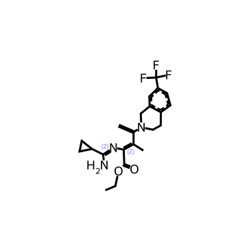 C=C(/C(C)=C(\N=C(/N)C1CC1)C(=O)OCC)N1CCc2ccc(C(F)(F)F)cc2C1